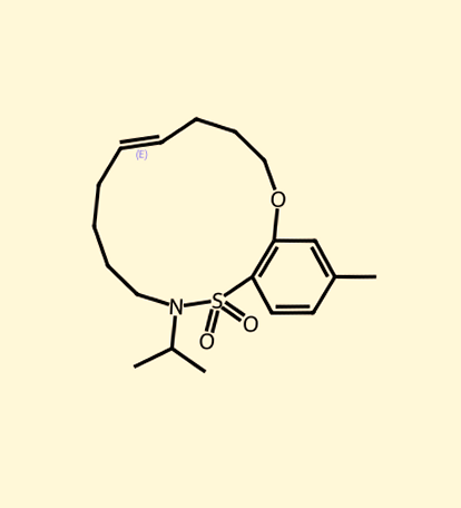 Cc1ccc2c(c1)OCCC/C=C/CCCCN(C(C)C)S2(=O)=O